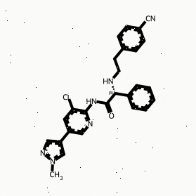 Cn1cc(-c2cnc(NC(=O)[C@H](NCCc3ccc(C#N)cc3)c3ccccc3)c(Cl)c2)cn1